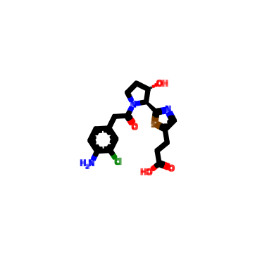 Nc1ccc(CC(=O)N2CC[C@H](O)[C@H]2c2ncc(CCC(=O)O)s2)cc1Cl